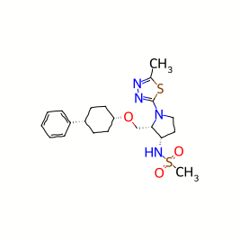 Cc1nnc(N2CC[C@H](NS(C)(=O)=O)[C@@H]2CO[C@H]2CC[C@@H](c3ccccc3)CC2)s1